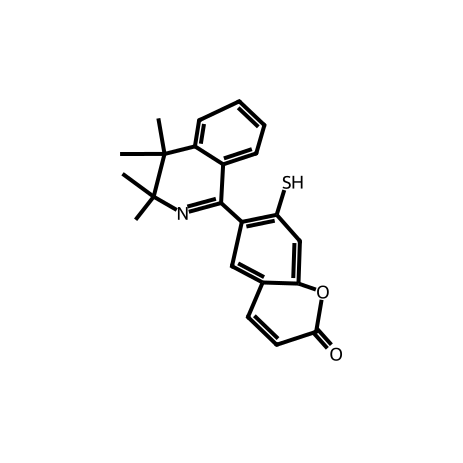 CC1(C)N=C(c2cc3ccc(=O)oc3cc2S)c2ccccc2C1(C)C